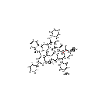 Cc1ccccc1-c1cc2c3c(c1)N(c1ccc(-c4ccccc4)cc1C)c1ccc(N(c4ccc(C(C)(C)C)cc4)c4ccc(C(C)(C)C)cc4)cc1B3N(c1ccc(C(C)(C)C)cc1)c1cc3ccccc3cc1-2